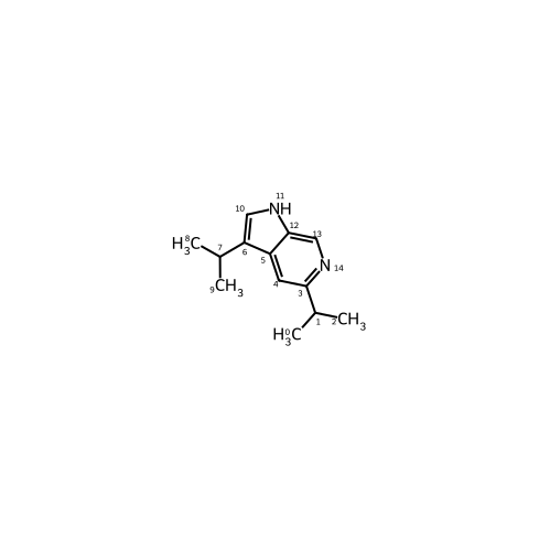 CC(C)c1cc2c(C(C)C)c[nH]c2cn1